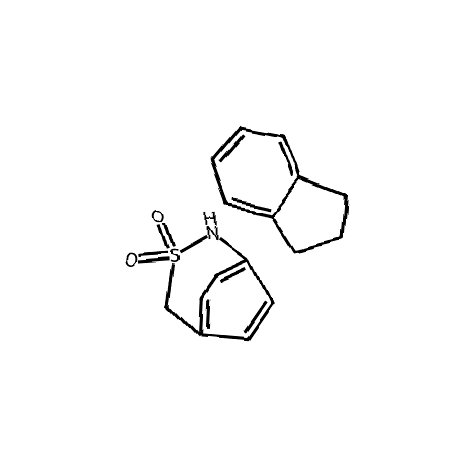 O=S1(=O)Cc2ccc(cc2)N1.c1ccc2c(c1)CCC2